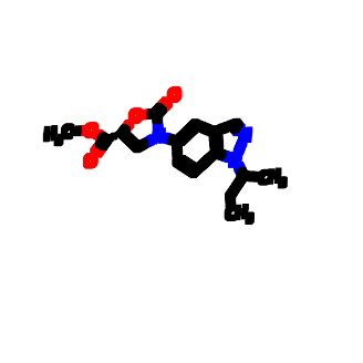 CCC(C)n1ncc2cc(N3C[C@H](C(=O)OC)OC3=O)ccc21